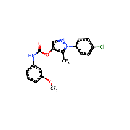 O=C(Nc1cccc(OC(F)(F)F)c1)Oc1cnn(-c2ccc(Cl)cc2)c1C(F)(F)F